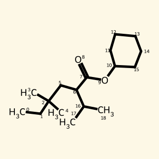 CCC(C)(C)CC(C(=O)OC1CCCCC1)C(C)C